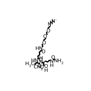 CC(C)[C@H](NC(=O)CCCC(=O)NCCOCCOCCOCCN=[N+]=[N-])C(=O)N[C@@H](CCCNC(N)=O)C(=O)O